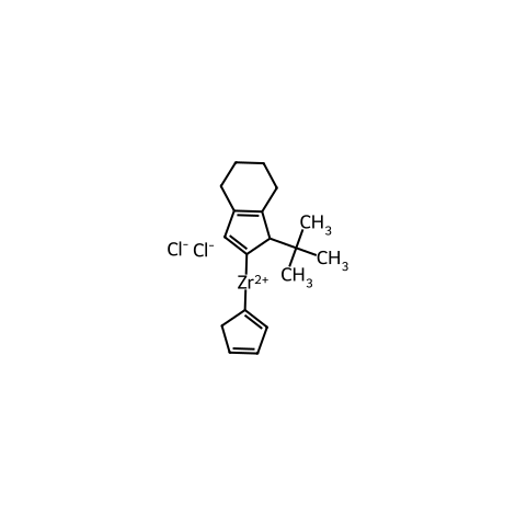 CC(C)(C)C1[C]([Zr+2][C]2=CC=CC2)=CC2=C1CCCC2.[Cl-].[Cl-]